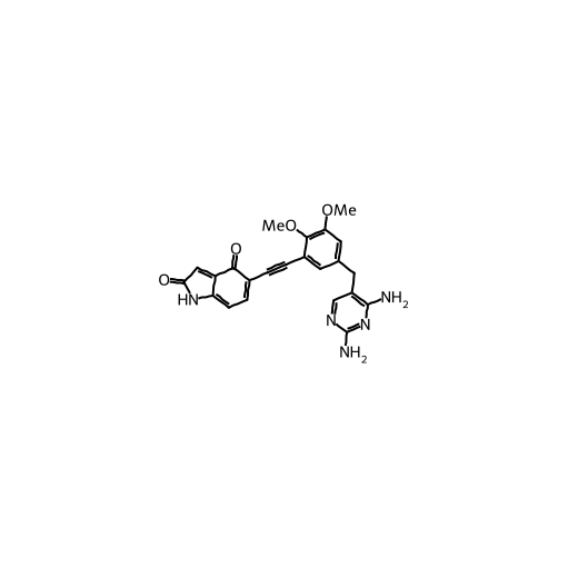 COc1cc(Cc2cnc(N)nc2N)cc(C#CC2=CC=C3NC(=O)C=C3C2=O)c1OC